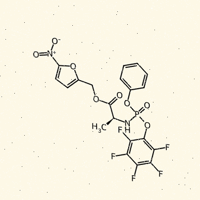 C[C@H](NP(=O)(Oc1ccccc1)Oc1c(F)c(F)c(F)c(F)c1F)C(=O)OCc1ccc([N+](=O)[O-])o1